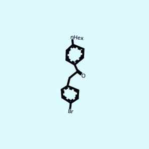 CCCCCCc1ccc(C(=O)Cc2ccc(Br)cc2)cc1